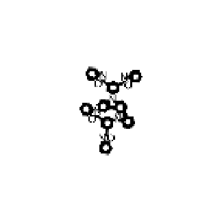 c1ccc2oc(-c3cc(-c4nc5ccccc5o4)cc(-n4c5ccccc5c5c4ccc4c6ccccc6n(-c6cc(-c7nc8ccccc8o7)cc(-c7nc8ccccc8o7)c6)c45)c3)nc2c1